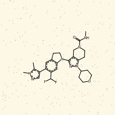 CNC(=O)N1CCc2c(c(N3CCc4cc(-c5cnn(C)c5C)c(C(F)F)cc43)nn2C2CCOCC2)C1